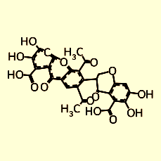 CC(=O)c1cc2c(=O)c3c(C(=O)O)c(O)c(O)cc3oc2c(C(C)=O)c1C1COc2cc(O)c(O)c(C(=O)O)c2C1=O